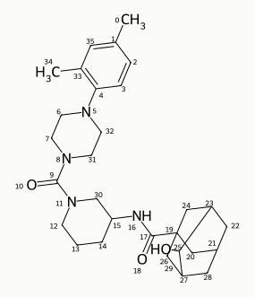 Cc1ccc(N2CCN(C(=O)N3CCCC(NC(=O)C45CC6CC(C4)C(O)C(C6)C5)C3)CC2)c(C)c1